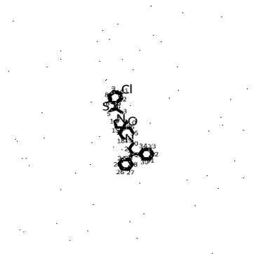 O=C1N(Cc2csc3ccc(Cl)cc23)CCC12CCN(CCC(c1ccccc1)c1ccccc1)CC2